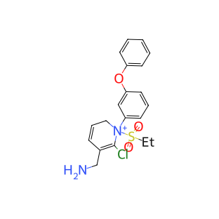 CCS(=O)(=O)[N+]1(c2cccc(Oc3ccccc3)c2)CC=CC(CN)=C1Cl